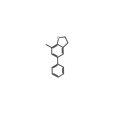 Cc1cc(-c2ccccc2)cc2c1OCC2